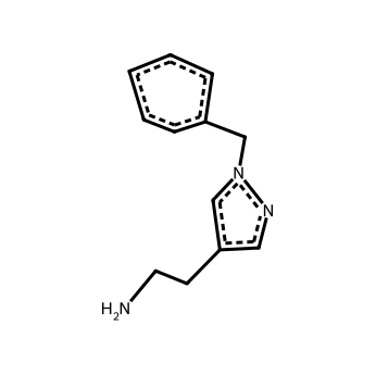 NCCc1cnn(Cc2ccccc2)c1